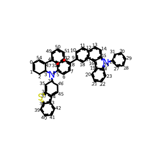 C1=CCC(N(c2ccc(-c3ccc4ccc5c(c4c3)c3ccccc3n5-c3ccccc3)cc2)C2C=c3sc4ccccc4c3=CC2)C(c2ccccc2)=C1